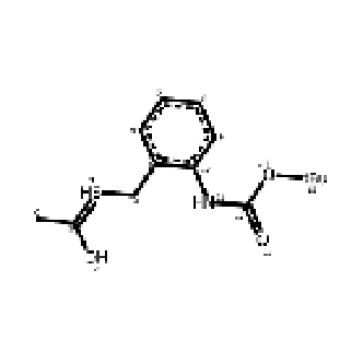 CC(O)=[SH]Cc1ccccc1NC(=O)OC(C)(C)C